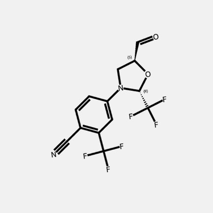 N#Cc1ccc(N2C[C@@H](C=O)O[C@@H]2C(F)(F)F)cc1C(F)(F)F